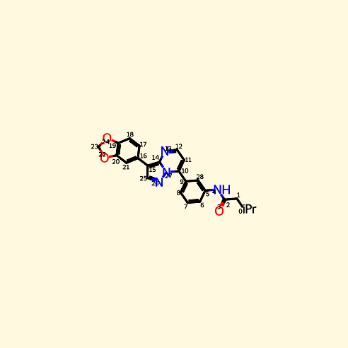 CC(C)CC(=O)Nc1cccc(-c2ccnc3c(-c4ccc5c(c4)OCO5)cnn23)c1